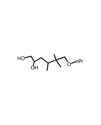 CCCOCC(C)(C)C(C)CC(O)CO